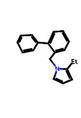 CCc1cccn1Cc1ccccc1-c1ccccc1